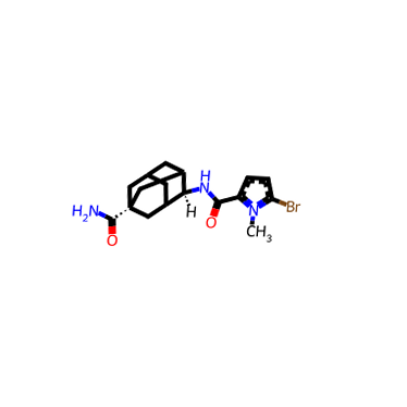 Cn1c(Br)ccc1C(=O)N[C@H]1C2CC3CC1C[C@](C(N)=O)(C3)C2